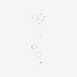 CC(C)(CNC(=O)CCCc1nc(-c2ccc(OC(F)(F)F)cc2)no1)CNc1n[nH]c(=O)c2ccccc12